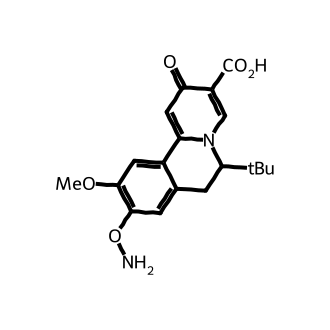 COc1cc2c(cc1ON)CC(C(C)(C)C)n1cc(C(=O)O)c(=O)cc1-2